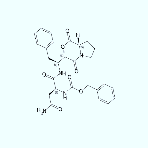 NC(=O)C[C@H](NC(=O)OCc1ccccc1)C(=O)N[C@@H](Cc1ccccc1)[C@@H]1OC(=O)[C@@H]2CCCN2C1=O